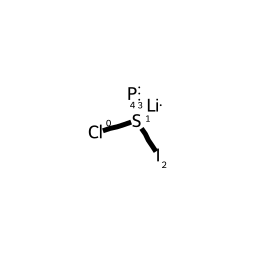 ClSI.[Li].[P]